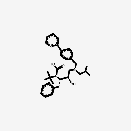 CC(C)CN(Cc1ccc(-c2ccccn2)cc1)C[C@@H](O)[C@H](Cc1ccccc1)N(C(=O)O)C(C)(C)C